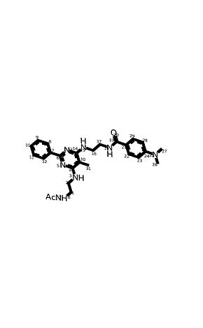 CC(=O)NCCNc1nc(-c2ccccc2)nc(NCCNC(=O)c2ccc(N(C)C)cc2)c1C